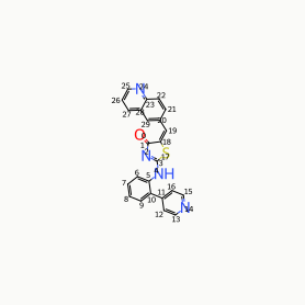 O=C1N=C(Nc2ccccc2-c2ccncc2)SC1=Cc1ccc2ncccc2c1